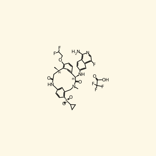 C[C@@H]1CC(=O)Nc2ccc(S(=O)(=O)C3CC3)c(c2)CN(C)C(=O)[C@H](Nc2ccc3c(N)ncc(F)c3c2)c2ccc(OCC(F)F)c1c2.O=C(O)C(F)(F)F